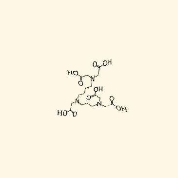 O=C(O)CN(CCCCN(CC(=O)O)CC(=O)O)CCCN(CC(=O)O)CC(=O)O